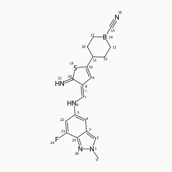 Cn1cc2cc(N/C=C3/C=C(C4CCB(C#N)CC4)SC3=N)cc(F)c2n1